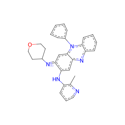 Cc1ncccc1Nc1cc2nc3ccccc3n(-c3ccccc3)c-2c/c1=N\C1CCOCC1